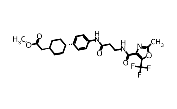 COC(=O)C[C@H]1CC[C@H](c2ccc(NC(=O)CCNC(=O)c3nc(C)oc3C(F)(F)F)cc2)CC1